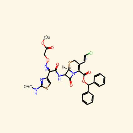 CC(C)(C)OC(=O)CO/N=C(\C(=O)NC1C(=O)N2C(C(=O)OC(c3ccccc3)c3ccccc3)=C(/C=C/Cl)CS[C@H]12)c1csc(NC=O)n1